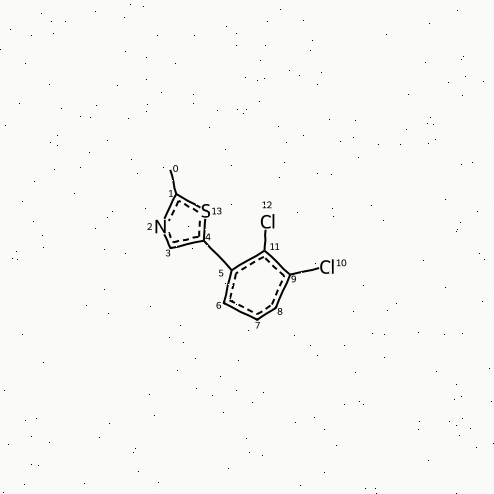 Cc1ncc(-c2cccc(Cl)c2Cl)s1